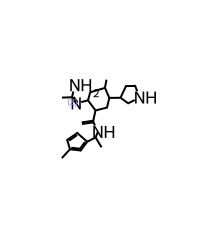 C=C(NC(C)C1=C=C(C)C=C1)C1CC(C2CCNC2)C(C)CC1/N=C(/C)N